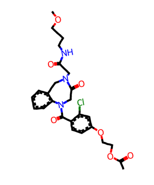 COCCCNC(=O)CN1Cc2ccccc2N(C(=O)c2ccc(OCCOC(C)=O)cc2Cl)CC1=O